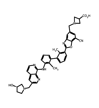 Cc1c(Nc2nccc3cc(CN4CC[C@@H](O)C4)cnc23)cccc1-c1cccc(-c2nc3cc(CN4CC(C(=O)O)C4)cc(C#N)c3o2)c1C